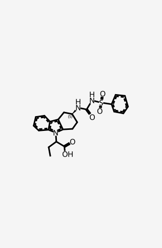 CCC(C(=O)O)n1c2c(c3ccccc31)C[C@@H](NC(=O)NS(=O)(=O)c1ccccc1)CC2